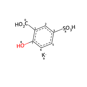 O=C(O)c1cc(S(=O)(=O)O)ccc1O.[K]